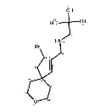 CC(C)CCC1(/C=C/CNCC(C)(C)O)CCOCC1